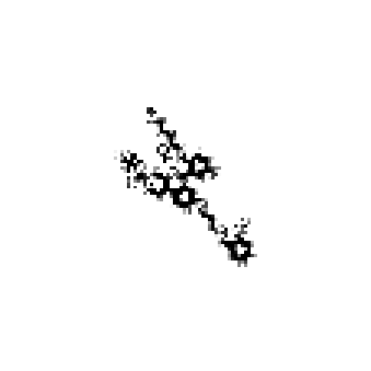 COCCCC(=O)CNc1ccc(F)cc1COC1CN(C(=O)OC(C)(C)C)CCC1c1ccc(OCCCOCc2ccccc2OC)cc1